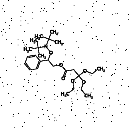 CCOC(CC(=O)OCC(ON(C(C)(C)C)C(C)(C)C)c1ccccc1)(OCC)OCC